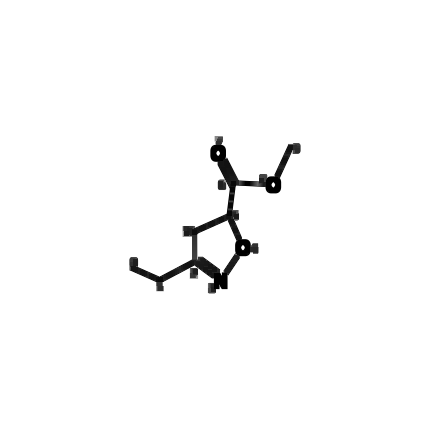 CCC1=NOC(C(=O)OC)C1